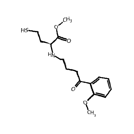 COC(=O)[C@H](CCS)NCCCC(=O)c1ccccc1OC